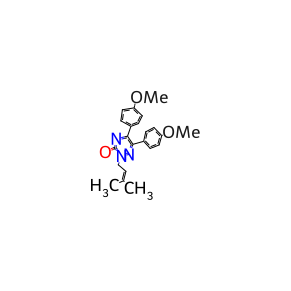 COc1ccc(-c2nc(=O)n(CC=C(C)C)nc2-c2ccc(OC)cc2)cc1